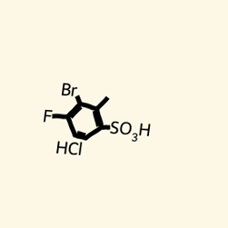 Cc1c(S(=O)(=O)O)ccc(F)c1Br.Cl